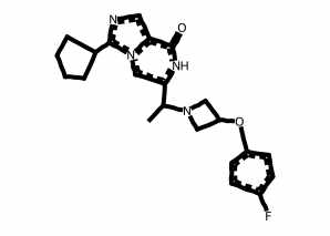 CC(c1cn2c(C3CCCC3)ncc2c(=O)[nH]1)N1CC(Oc2ccc(F)cc2)C1